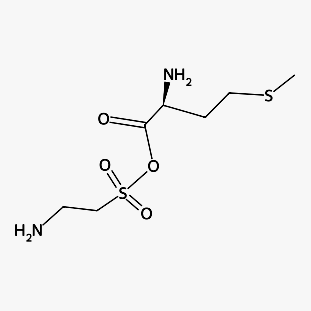 CSCC[C@H](N)C(=O)OS(=O)(=O)CCN